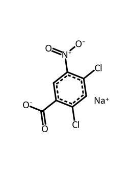 O=C([O-])c1cc([N+](=O)[O-])c(Cl)cc1Cl.[Na+]